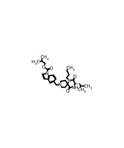 CCCCN1C(=O)[C@H](CC(C)C)NC(=O)C12CCN(Cc1ccc3c(ccn3C(=O)OCC(C)C)c1)CC2